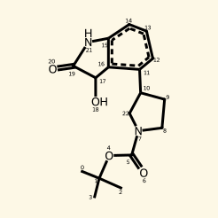 CC(C)(C)OC(=O)N1CCC(c2cccc3c2C(O)C(=O)N3)C1